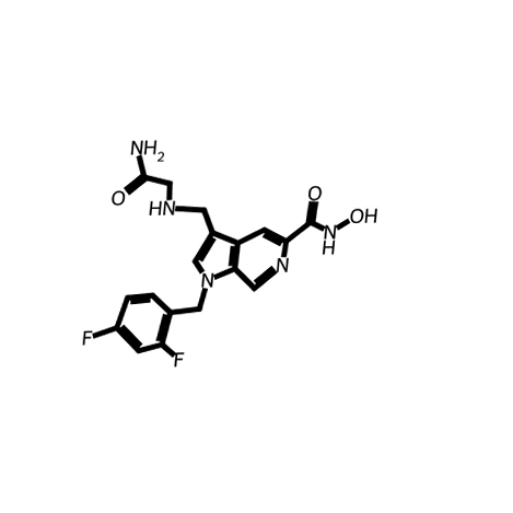 NC(=O)CNCc1cn(Cc2ccc(F)cc2F)c2cnc(C(=O)NO)cc12